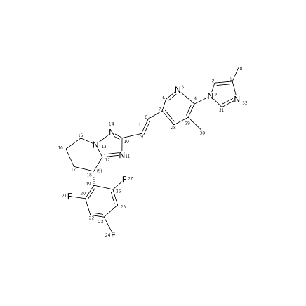 Cc1cn(-c2ncc(/C=C/c3nc4n(n3)CCC[C@H]4c3c(F)cc(F)cc3F)cc2C)cn1